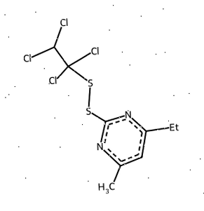 CCc1cc(C)nc(SSC(Cl)(Cl)C(Cl)Cl)n1